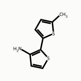 Cc1ccc(-c2sccc2N)s1